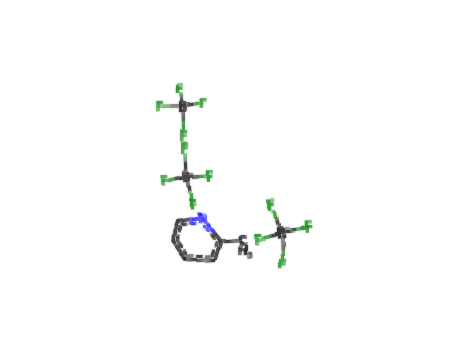 Cc1ccccn1.F[B-](F)(F)F.F[B-](F)(F)F.F[B-](F)(F)F